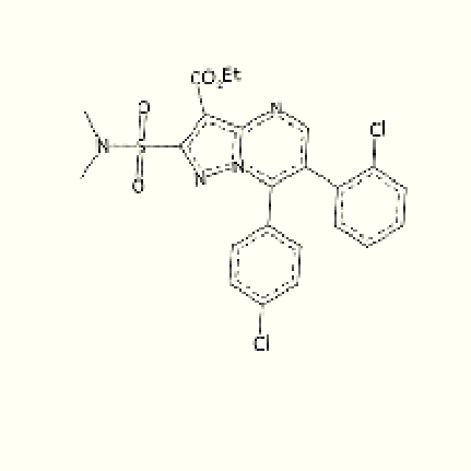 CCOC(=O)c1c(S(=O)(=O)N(C)C)nn2c(-c3ccc(Cl)cc3)c(-c3ccccc3Cl)cnc12